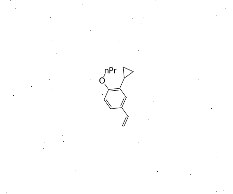 C=Cc1ccc(OCCC)c(C2CC2)c1